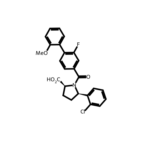 COc1ccccc1-c1ccc(C(=O)N2[C@@H](c3ccccc3Cl)CC[C@H]2C(=O)O)cc1F